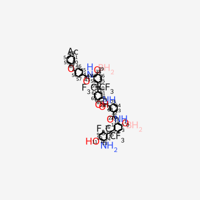 BOc1ccc(C(c2ccc(O)c(N)c2)(C(F)(F)F)C(F)(F)F)cc1NC(=O)c1cccc(C(=O)Nc2cc(C(c3ccc(OB)c(NC(=O)c4ccc(Oc5ccc(C(C)=O)cc5)cc4)c3)(C(F)(F)F)C(F)(F)F)ccc2O)c1